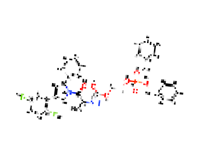 CC(C)(C)[C@H](NC(=O)OCCOP(=O)(OCc1ccccc1)OCc1ccccc1)C(=O)N1CC(c2cc(F)ccc2F)=CC1c1ccccc1